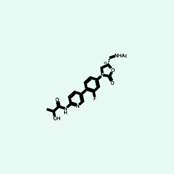 CC(=O)NC[C@H]1CN(c2ccc(-c3ccc(NC(=O)C(C)O)nc3)c(F)c2)C(=O)O1